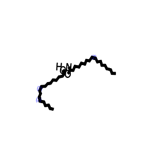 CCCCC/C=C\C/C=C\CCCCCCCC(=O)OC(N)CCCCCCC/C=C\CCCCCCCC